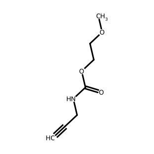 C#CCNC(=O)OCCOC